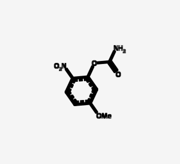 COc1ccc([N+](=O)[O-])c(OC(N)=O)c1